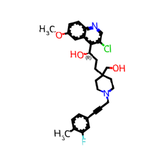 COc1ccc2ncc(Cl)c([C@H](O)CCC3(CO)CCN(CC#Cc4ccc(C)c(F)c4)CC3)c2c1